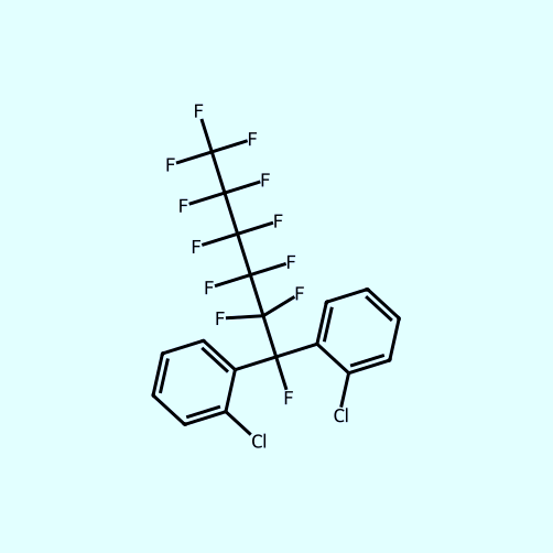 FC(F)(F)C(F)(F)C(F)(F)C(F)(F)C(F)(F)C(F)(c1ccccc1Cl)c1ccccc1Cl